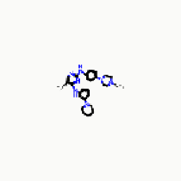 Cc1cnc(Nc2ccc(N3CCN(C)CC3)cc2)nc1Nc1cccc(N2CCCCC2)c1